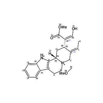 C/C=C1/CN2CCc3c([nH]c4ccccc34)[C@@H]2C[C@@H]1/C(=C/O)C(=O)OC.COC